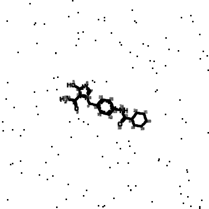 NC(=O)c1c(O)ncn1Cc1ccc(NC(=O)C2CCCCC2)cc1